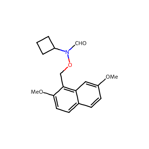 COc1ccc2ccc(OC)c(CON(C=O)C3CCC3)c2c1